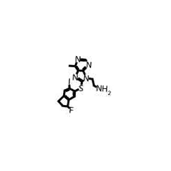 Cc1ncnc2c1nc(Sc1cc3c(cc1I)CCC3F)n2CCN